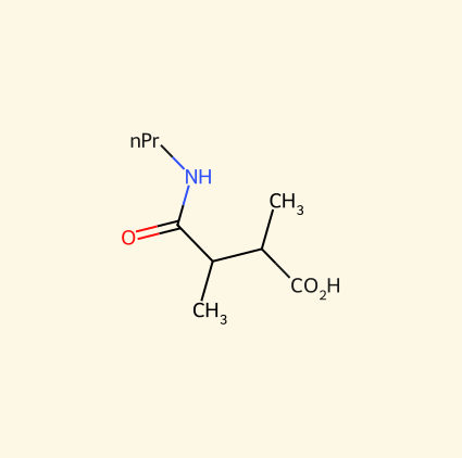 CCCNC(=O)C(C)C(C)C(=O)O